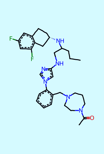 CCCC(CNc1cn(-c2ccccc2CN2CCCN(C(C)=O)CC2)cn1)N[C@H]1CCc2cc(F)cc(F)c2C1